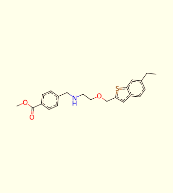 CCc1ccc2cc(COCCNCc3ccc(C(=O)OC)cc3)sc2c1